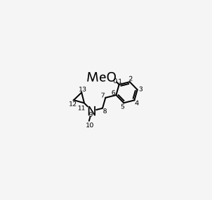 COc1ccccc1CCN(C)C1CC1